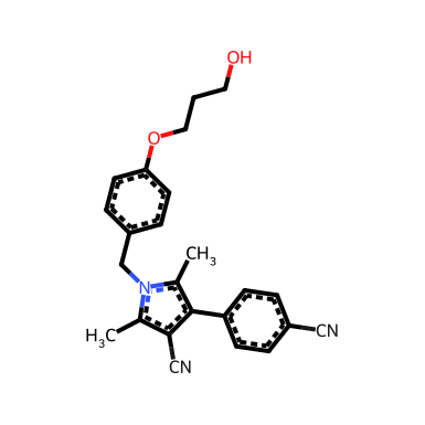 Cc1c(C#N)c(-c2ccc(C#N)cc2)c(C)n1Cc1ccc(OCCCO)cc1